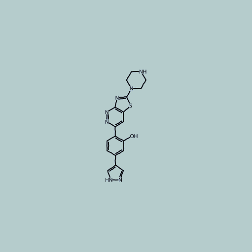 Oc1cc(-c2cn[nH]c2)ccc1-c1cc2sc(N3CCNCC3)nc2nn1